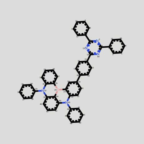 c1ccc(-c2nc(-c3ccccc3)nc(-c3ccc(-c4ccc5c(c4)B4c6ccccc6N(c6ccccc6)c6cccc(c64)N5c4ccccc4)cc3)n2)cc1